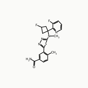 Cc1ccc(C(N)=O)cc1-c1nnc(N(C)C2(c3ncccc3F)CC(F)C2)s1